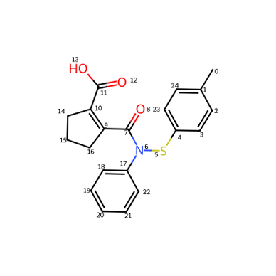 Cc1ccc(SN(C(=O)C2=C(C(=O)O)CCC2)c2ccccc2)cc1